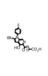 CC(C)(C)c1cc2c(O)c(C(=O)NCC(=O)O)ncc2n1-c1ccc(F)cc1